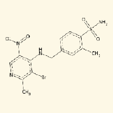 Cc1cc(CNc2c([N+](=O)[O-])cnc(C)c2Br)ccc1S(N)(=O)=O